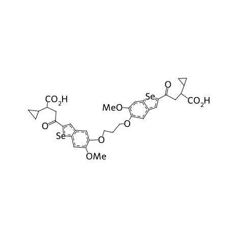 COc1cc2[se]c(C(=O)CC(C(=O)O)C3CC3)cc2cc1OCCCOc1cc2cc(C(=O)CC(C(=O)O)C3CC3)[se]c2cc1OC